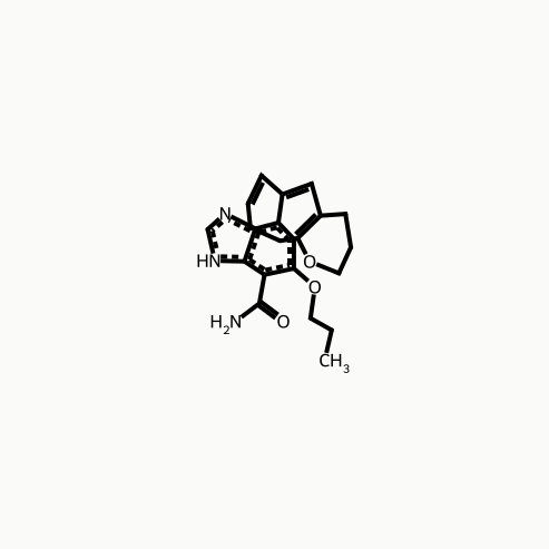 CCCOc1cc(C2=C\C3=C(CC/C=C\2)OCCC3)c2nc[nH]c2c1C(N)=O